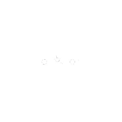 Cc1cc(CCN(C)c2cn(C3CCc4c(F)cc(F)cc4C3)c(=S)[nH]2)ccc1C(=O)O